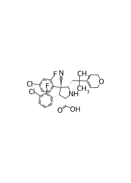 CC(C)(C[C@@H]1N[C@H](C(=O)O)[C@H](c2cccc(Cl)c2F)[C@]1(C#N)c1ccc(Cl)cc1F)C1=CCOCC1